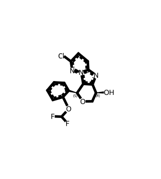 O[C@H]1CO[C@@H](c2ccccc2OC(F)F)c2c1nc1ccc(Cl)nn21